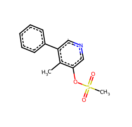 Cc1c(-c2ccccc2)[c]ncc1OS(C)(=O)=O